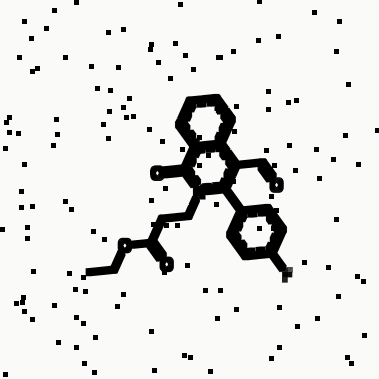 CCOC(=O)CCn1c(-c2ccc(F)cc2)c(C=O)c2ccccc2c1=O